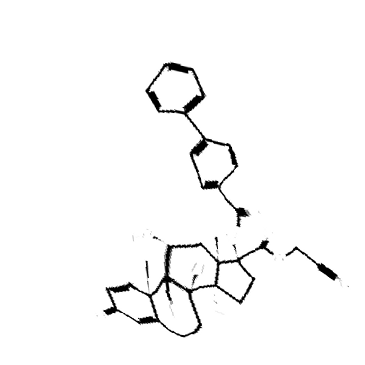 C[C@]12C=CC(=O)C=C1CC[C@H]1[C@@H]3CC[C@@](OC(=O)c4ccc(-c5ccccc5)cc4)(C(=O)OCC#N)[C@@]3(C)C[C@H](O)C12F